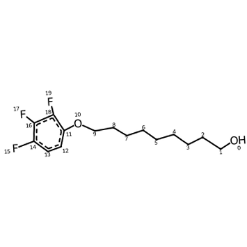 OCCCCCCCCCOc1ccc(F)c(F)c1F